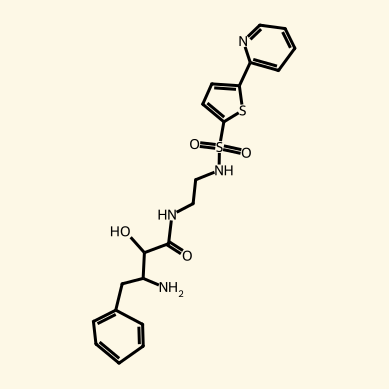 NC(Cc1ccccc1)C(O)C(=O)NCCNS(=O)(=O)c1ccc(-c2ccccn2)s1